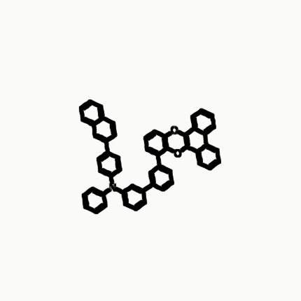 c1ccc(N(c2ccc(-c3ccc4ccccc4c3)cc2)c2cccc(-c3cccc(-c4cccc5c4Oc4c(c6ccccc6c6ccccc46)O5)c3)c2)cc1